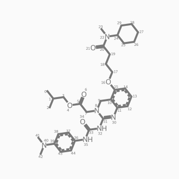 CC(C)COC(=O)CN1Cc2c(cccc2OCCCC(=O)N(C)C2CCCCC2)N=C1NC(=O)Nc1ccc(N(C)C)cc1